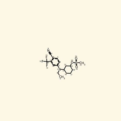 CCN(c1ccc(C#N)c(C(F)(F)F)c1)C1CCCC(OS(C)(=O)=O)C1